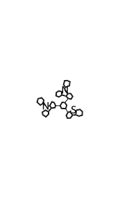 c1ccc(-n2c3ccccc3c3cc(-c4cc(-c5cccc6c5sc5ccccc56)cc(-c5cccc6c5c5ccccc5n6-c5ccccc5)c4)ccc32)cc1